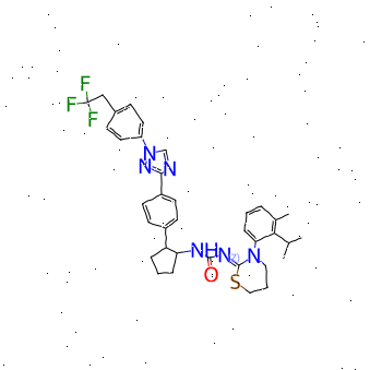 Cc1cccc(N2CCCS/C2=N\C(=O)NC2CCCC2c2ccc(-c3ncn(-c4ccc(CC(F)(F)F)cc4)n3)cc2)c1C(C)C